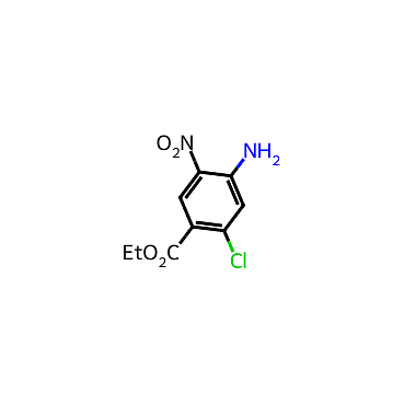 CCOC(=O)c1cc([N+](=O)[O-])c(N)cc1Cl